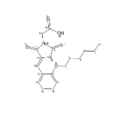 CCCCCCOc1ccccc1C=C1SC(=S)N(CC(=O)O)C1=O